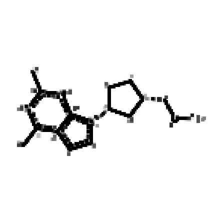 [2H]OC[C@H]1CC[C@@H](n2ccc3c(C)nc(C)nc32)C1